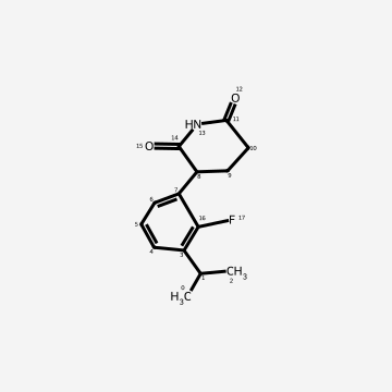 CC(C)c1cccc(C2CCC(=O)NC2=O)c1F